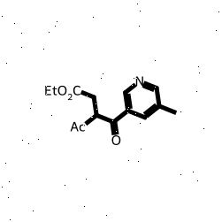 CCOC(=O)CC(C(C)=O)C(=O)c1cncc(C)c1